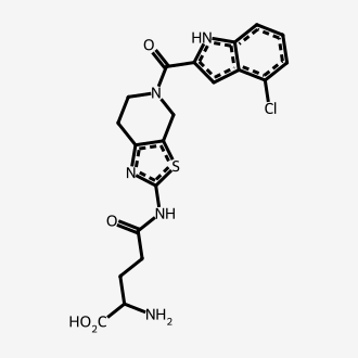 NC(CCC(=O)Nc1nc2c(s1)CN(C(=O)c1cc3c(Cl)cccc3[nH]1)CC2)C(=O)O